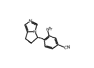 CCCc1cc(C#N)ccc1C1CCc2cncn21